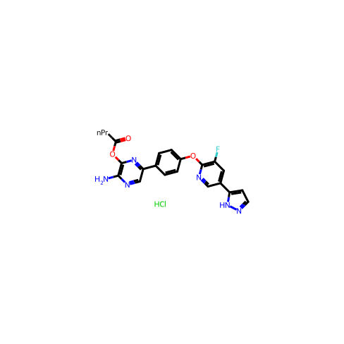 CCCC(=O)Oc1nc(-c2ccc(Oc3ncc(-c4ccn[nH]4)cc3F)cc2)cnc1N.Cl